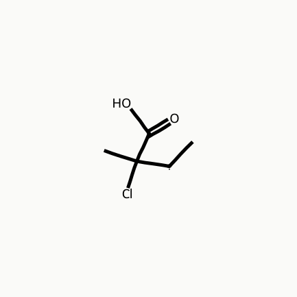 C[CH]C(C)(Cl)C(=O)O